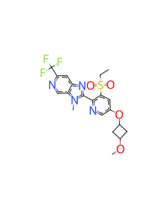 CCS(=O)(=O)c1cc(OC2CC(OC)C2)cnc1-c1nc2cc(C(F)(F)F)ncc2n1C